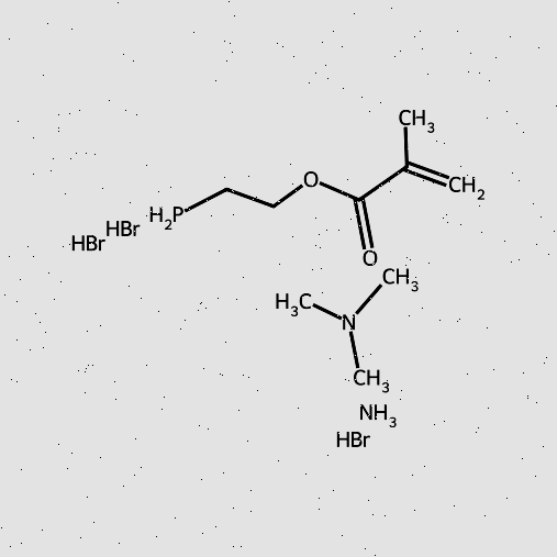 Br.Br.Br.C=C(C)C(=O)OCCP.CN(C)C.N